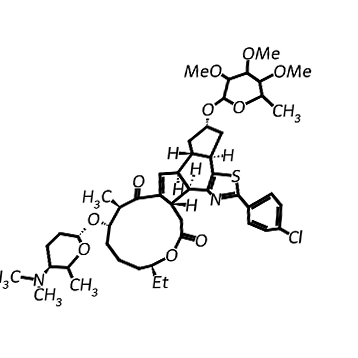 CC[C@H]1CCC[C@H](O[C@H]2CC[C@H](N(C)C)C(C)O2)[C@@H](C)C(=O)C2=C[C@H]3[C@@H]4C[C@H](OC5OC(C)C(OC)C(OC)C5OC)C[C@H]4c4sc(-c5ccc(Cl)cc5)nc4[C@H]3[C@@H]2CC(=O)O1